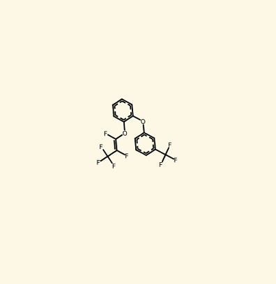 FC(Oc1ccccc1Oc1cccc(C(F)(F)F)c1)=C(F)C(F)(F)F